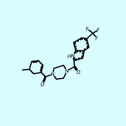 CC1C=CC=C(C(=O)N2CCN(C(=O)c3cc4cc(C(F)(F)F)ccc4[nH]3)CC2)C1